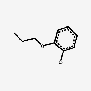 CCCOc1ccccc1[O]